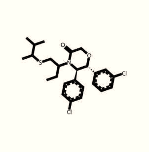 CCC(CSC(C)C(C)C)N1C(=O)CO[C@H](c2cccc(Cl)c2)[C@H]1c1ccc(Cl)cc1